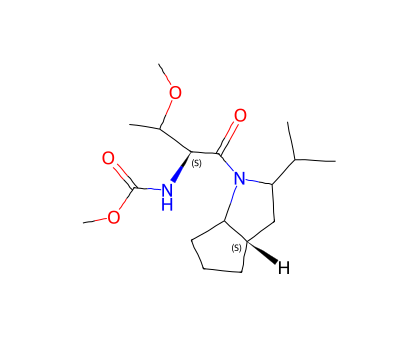 COC(=O)N[C@H](C(=O)N1C(C(C)C)C[C@@H]2CCCC21)C(C)OC